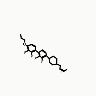 C/C=C\CC1CCC(c2ccc(-c3ccc(OCCC)c(F)c3F)c(F)c2F)CC1